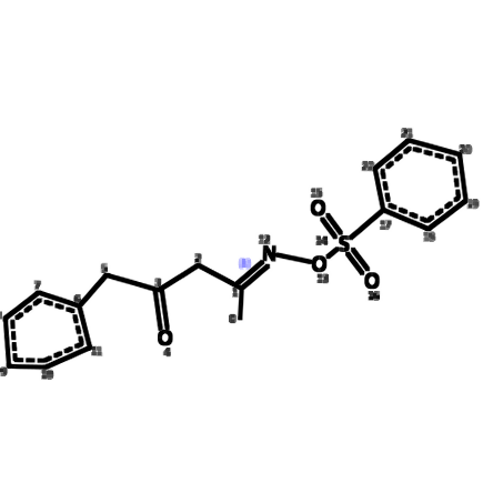 C/C(CC(=O)Cc1ccccc1)=N\OS(=O)(=O)c1ccccc1